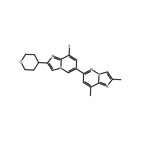 Cc1cn2nc(-c3cc(F)c4nc(C5CCOCC5)cn4c3)cc(C)c2n1